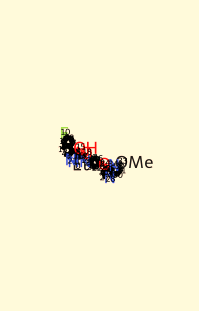 CCc1nc(C)c(-c2ccc(F)cc2C)c(O)c1C(=O)Nc1ccc(Oc2ccnc3ccc(OC)nc23)cc1